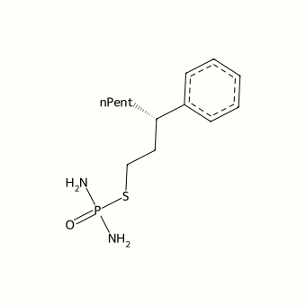 CCCCC[C@@H](CCSP(N)(N)=O)c1ccccc1